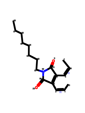 C/C=C\C1=C(/C=C\C)C(=O)N(CCCCCCCC)C1=O